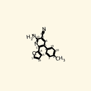 Cc1ccc(-c2cc(C#N)c(N)nc2-c2ccco2)cc1